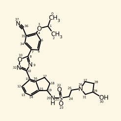 CC(C)Oc1ccc(-c2nc(-c3cccc4c3CCC4NS(=O)(=O)CCN3CCC(O)C3)no2)cc1C#N